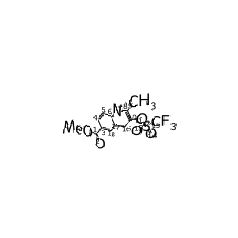 COC(=O)c1ccc2nc(C)c(OS(=O)(=O)C(F)(F)F)cc2c1